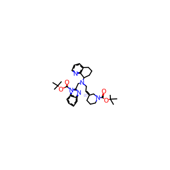 CC(C)(C)OC(=O)N1CCC/C(=C/CN(Cc2nc3ccccc3n2C(=O)OC(C)(C)C)C2CCCc3cccnc32)C1